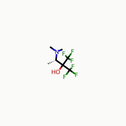 C[C@H](N(C)C)C(O)(C(F)(F)F)C(F)(F)F